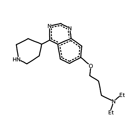 CCN(CC)CCCOc1ccc2c(C3CCNCC3)ncnc2c1